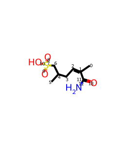 CC(=CCC(C)CS(=O)(=O)O)C(N)=O